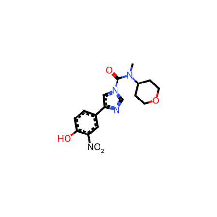 CN(C(=O)n1cnc(-c2ccc(O)c([N+](=O)[O-])c2)c1)C1CCOCC1